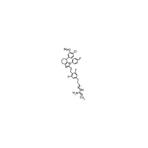 C/N=C(\N)N/N=C/CCc1cc(F)c(CSc2nc3c(n2-c2ccc(F)cc2)C(c2ccc(Cl)c(OC)c2)CCC3)c(F)c1